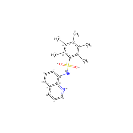 Cc1c(C)c(C)c(S(=O)(=O)Nc2cccc3cccnc23)c(C)c1C